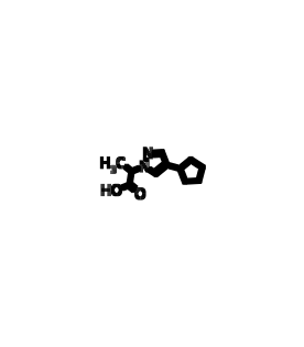 CC(C(=O)O)n1cc(C2CCCC2)cn1